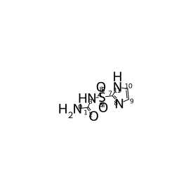 NC(=O)NS(=O)(=O)c1ncc[nH]1